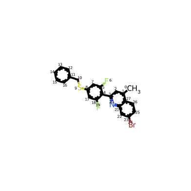 Cc1cc(-c2c(F)cc(SCc3ccccc3)cc2F)nc2cc(Br)ccc12